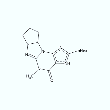 CCCCCCc1nc2c([nH]1)C(=O)N(C)C1=NC3CCCC3N12